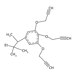 C#CCOc1cc(C(C)C(C)(C)CC)cc(OCC#C)c1OCC#C